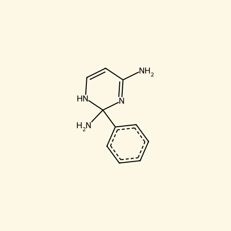 NC1=NC(N)(c2ccccc2)NC=C1